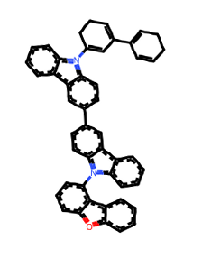 C1=CC(C2=CCCC(n3c4ccccc4c4cc(-c5ccc6c(c5)c5ccccc5n6-c5cccc6oc7ccccc7c56)ccc43)=C2)=CCC1